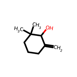 C=C1CCCC(C)(C)C1O